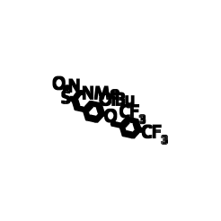 CNC1=NC(=O)SC1=Cc1ccc(OCc2ccc(C(F)(F)F)cc2C(F)(F)F)c(OCC(C)C)c1